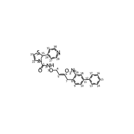 O=C(NOCC=CCc1ccc(-c2ccccc2)cc1[N+](=O)[O-])N1[C]=CSC1c1ccncc1